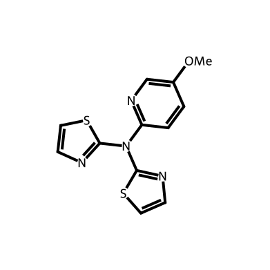 COc1ccc(N(c2nccs2)c2nccs2)nc1